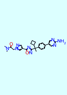 CN(C)C(=O)Cn1cc(-c2nc(C(C)(c3ccc(-c4cnc(N)nc4)cc3)C3CCC3)no2)cn1